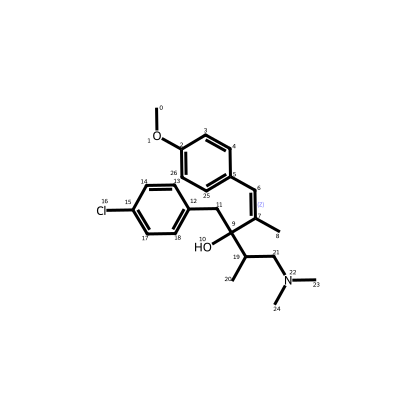 COc1ccc(/C=C(/C)C(O)(Cc2ccc(Cl)cc2)C(C)CN(C)C)cc1